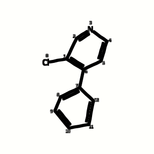 Clc1cnccc1-c1ccccc1